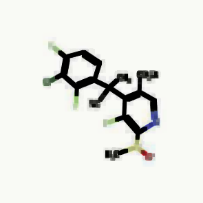 CCOC(=O)c1cnc([S+](C)[O-])c(F)c1C(C)(C#N)c1ccc(F)c(Cl)c1F